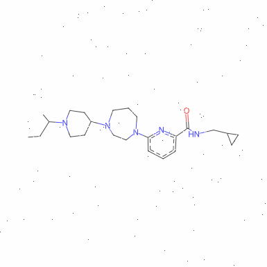 CCC(C)N1CCC(N2CCCN(c3cccc(C(=O)NCC4CC4)n3)CC2)CC1